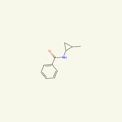 CC1CC1NC(=O)c1ccccc1